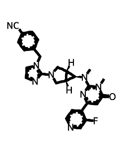 CN(c1nc(-c2ccncc2F)cc(=O)n1C)[C@H]1[C@@H]2CN(c3nccn3Cc3ccc(C#N)cc3)C[C@@H]21